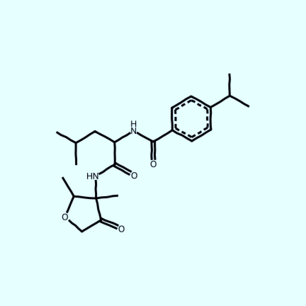 CC(C)CC(NC(=O)c1ccc(C(C)C)cc1)C(=O)NC1(C)C(=O)COC1C